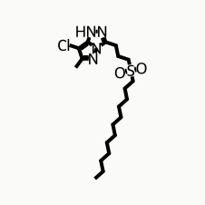 CCCCCCCCCCCCS(=O)(=O)CCCc1n[nH]c2c(Cl)c(C)nn12